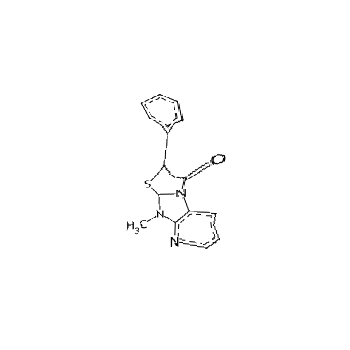 CN1c2ncccc2N2C(=O)C(c3ccccc3)SC12